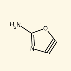 Nc1nc#co1